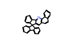 c1ccc2c(c1)-c1ccccc1C21c2ccccc2-c2nc3c(ccc4ccccc43)cc21